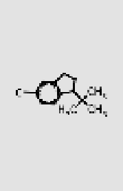 CC(C)(C)C1CCc2cc(Cl)ccc21